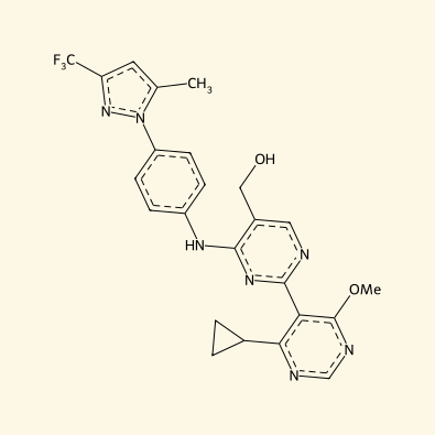 COc1ncnc(C2CC2)c1-c1ncc(CO)c(Nc2ccc(-n3nc(C(F)(F)F)cc3C)cc2)n1